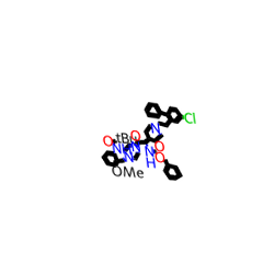 COc1cccc(NC(=O)C(C)(C)C)c1CN1CCN(C(=O)[C@H](NC(=O)OCc2ccccc2)C2CCN(CCc3cc(Cl)ccc3-c3ccccc3)CC2)CC1